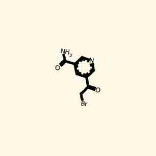 NC(=O)c1cncc(C(=O)CBr)c1